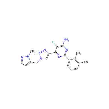 Cc1c(C#N)cccc1-c1nc(N)c(F)c(-c2cn(Cc3ccnn3C)nn2)n1